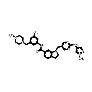 CN1CCN(Cc2cc(NC(=O)c3ccc4c(c3)N(Cc3cnc(Nc5cnn(C)c5)nc3)CC4)cc(C(F)(F)F)c2)CC1